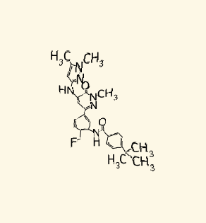 Cc1cc(Nc2cc(-c3ccc(CF)c(NC(=O)c4ccc(C(C)(C)C)cc4)c3)nn(C)c2=O)nn1C